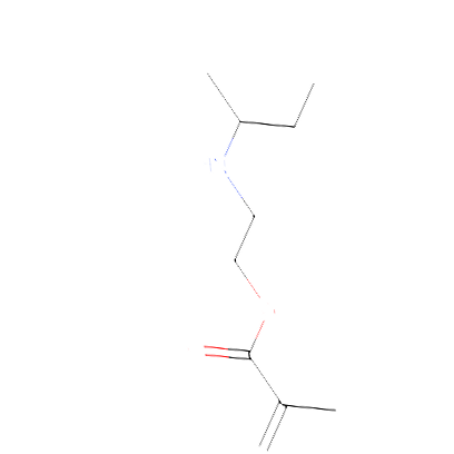 C=C(C)C(=O)OCCNC(C)CC